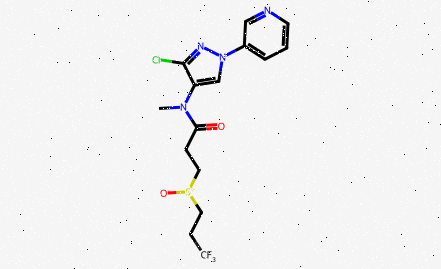 CN(C(=O)CC[S+]([O-])CCC(F)(F)F)c1cn(-c2cccnc2)nc1Cl